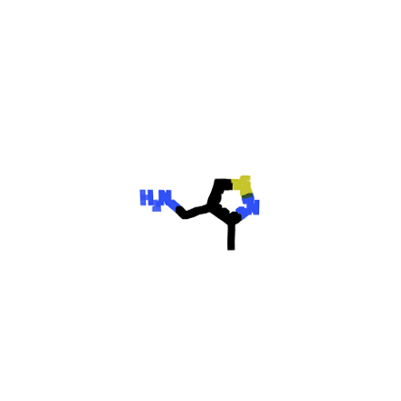 Cc1nscc1CN